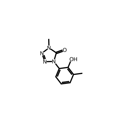 Cc1cccc(-n2nnn(C)c2=O)c1O